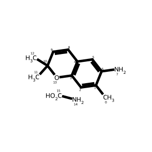 Cc1cc2c(cc1N)C=CC(C)(C)O2.NC(=O)O